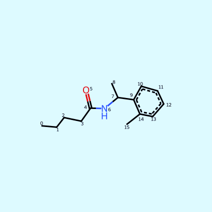 CCCCC(=O)NC(C)c1ccccc1C